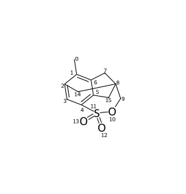 Cc1c2cc3c4c1CC(COS3(=O)=O)(C2)C4